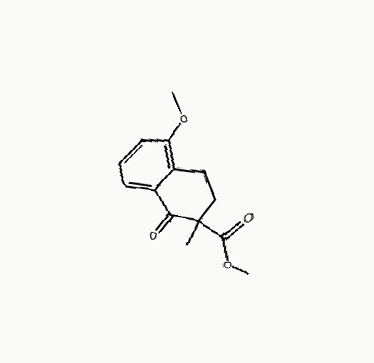 COC(=O)C1(C)CCc2c(OC)cccc2C1=O